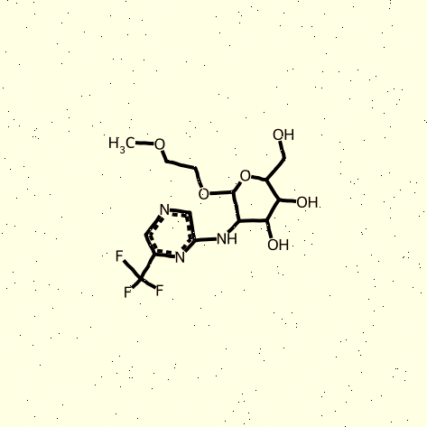 COCCOC1OC(CO)C(O)C(O)C1Nc1cncc(C(F)(F)F)n1